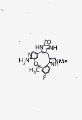 CN/C=C1/C/C(C=N)=C(/NC2COC2)c2cnc(N)c(c2)O[C@H](C)c2cc(F)ccc2C1=N